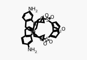 Nc1ccc2c(c1)N1C3CN(CC4CC4)C(C2)C12C1Cc4ccc(N)cc4N2C(CN1CC1CC1)OS(=O)(=O)c1cccc2c(cccc12)S(=O)(=O)O3.O